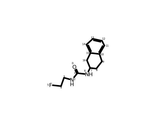 O=C(NCCF)NC1CCc2ccccc2C1